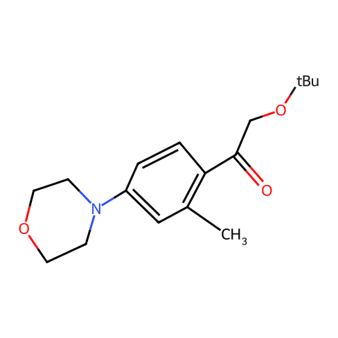 Cc1cc(N2CCOCC2)ccc1C(=O)COC(C)(C)C